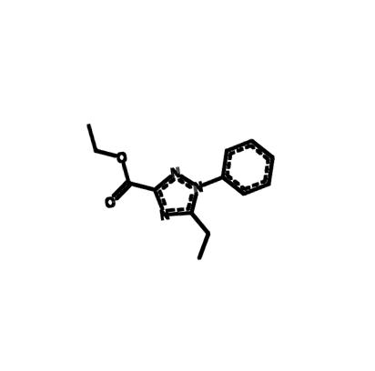 CCOC(=O)c1nc(CC)n(-c2ccccc2)n1